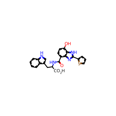 O=C(NC(Cc1c[nH]c2ccccc12)C(=O)O)c1ccc(O)c2[nH]c(-c3cccs3)nc12